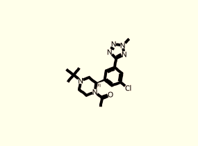 CC(=O)N1CCN(C(C)(C)C)C[C@H]1c1cc(Cl)cc(-c2nnn(C)n2)c1